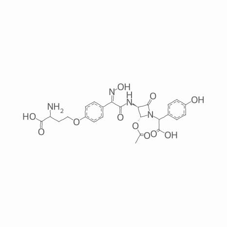 CC(=O)O[C@@H]1[C@@H](NC(=O)C(=NO)c2ccc(OCCC(N)C(=O)O)cc2)C(=O)N1C(C(=O)O)c1ccc(O)cc1